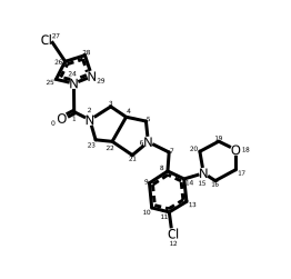 O=C(N1CC2CN(Cc3ccc(Cl)cc3N3CCOCC3)CC2C1)n1cc(Cl)cn1